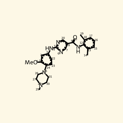 COc1cc(Nc2ncc(C(=O)Nc3c(C)cccc3C)cn2)ccc1N1CCN(C)CC1